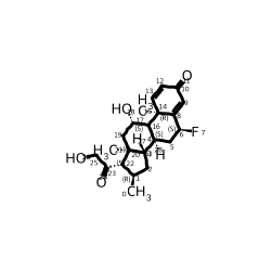 C[C@@H]1C[C@H]2[C@@H]3C[C@H](F)C4=CC(=O)C=C[C@]4(C)C3[C@@H](O)C[C@]2(C)[C@H]1C(=O)CO